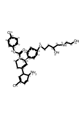 NC1C=CC(Cl)=CC1C1=C[C@H](c2ccc(OCCC(O)CNCCO)cc2)N(C(=O)Oc2ccc(Cl)cc2)CC1